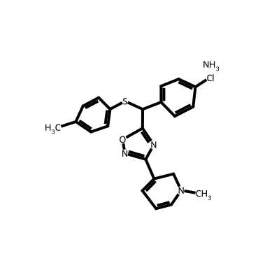 Cc1ccc(SC(c2ccc(Cl)cc2)c2nc(C3=CC=CN(C)C3)no2)cc1.N